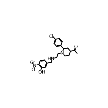 CC(=O)C1CCN(CCNCc2ccc([N+](=O)[O-])c(O)c2)C(c2ccc(Cl)cc2)C1